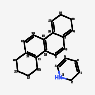 C1=CCNC=C1.C1=c2ccc3c4c(ccc3c2=CCC1)CCCC4